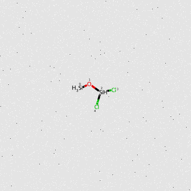 [SiH3]O[SiH](Cl)Cl